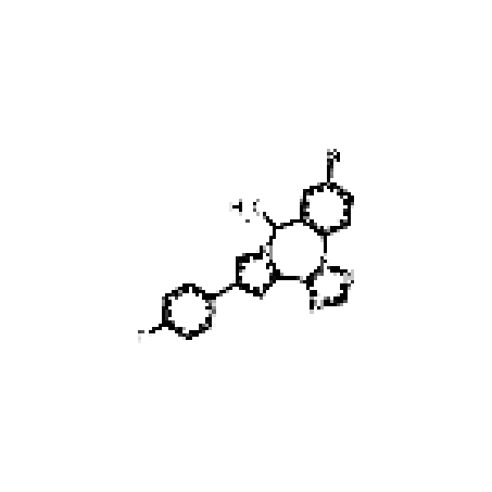 CC1c2cc(Br)ccc2-n2ncnc2-c2cc(-c3ccc(F)cc3)cn21